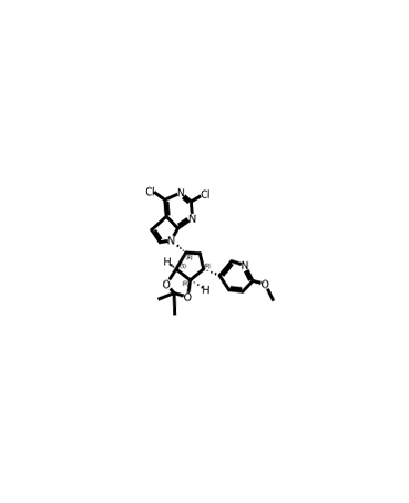 COc1ccc([C@H]2C[C@@H](n3ccc4c(Cl)nc(Cl)nc43)[C@@H]3OC(C)(C)O[C@@H]32)cn1